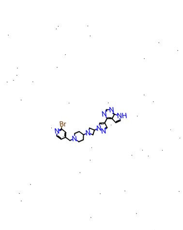 Brc1cc(CN2CCC(N3C[C](n4cc(-c5ncnc6[nH]ccc56)cn4)C3)CC2)ccn1